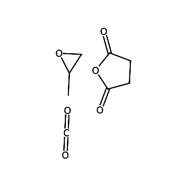 CC1CO1.O=C1CCC(=O)O1.O=C=O